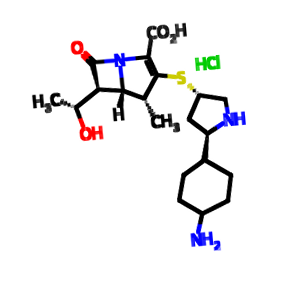 C[C@@H](O)[C@H]1C(=O)N2C(C(=O)O)=C(S[C@@H]3CN[C@@H](C4CCC(N)CC4)C3)[C@H](C)[C@H]12.Cl